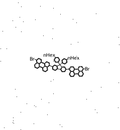 CCCCCCc1ccc(C2(c3ccc(CCCCCC)cc3)c3cc(-c4ccc5c6ccc(Br)c7cccc(c8cccc4c85)c76)ccc3-c3ccc(-c4ccc5c6ccc(Br)c7cccc(c8cccc4c85)c76)cc32)cc1